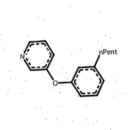 CCCCCc1cc[c]c(Oc2cccnc2)c1